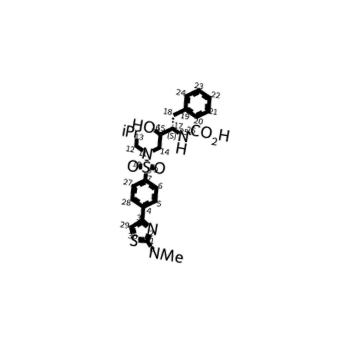 CNc1nc(-c2ccc(S(=O)(=O)N(CC(C)C)CC(O)[C@H](Cc3ccccc3)NC(=O)O)cc2)cs1